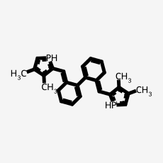 Cc1c[pH]c(C=C2CC=CC=C2C2=CC=CCC2=Cc2[pH]cc(C)c2C)c1C